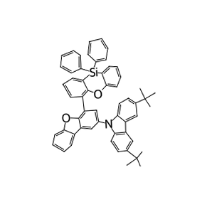 CC(C)(C)c1ccc2c(c1)c1cc(C(C)(C)C)ccc1n2-c1cc(-c2cccc3c2Oc2ccccc2[Si]3(c2ccccc2)c2ccccc2)c2oc3ccccc3c2c1